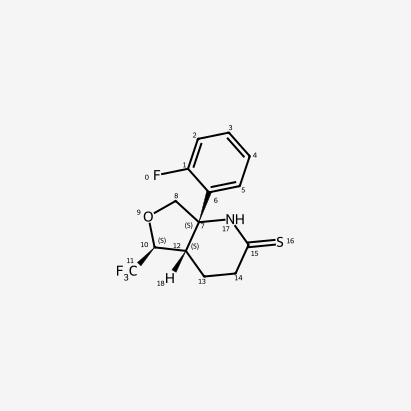 Fc1ccccc1[C@]12CO[C@H](C(F)(F)F)[C@H]1CCC(=S)N2